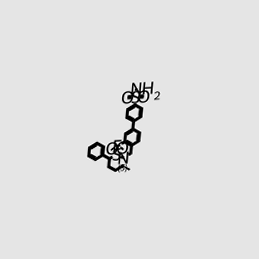 C[C@H]1CCC(c2ccccc2)S(=O)(=O)N1Cc1ccc(-c2ccc(S(N)(=O)=O)cc2)cc1F